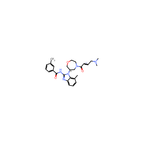 Cc1cccc2nc(NC(=O)c3cccc(C(F)(F)F)c3)n([C@H]3COCCN(C(=O)/C=C/CN(C)C)C3)c12